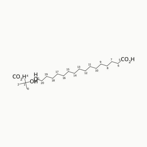 CC(C)(O)C(=O)O.O=C(O)CCCCCCCCCCCCCCCO